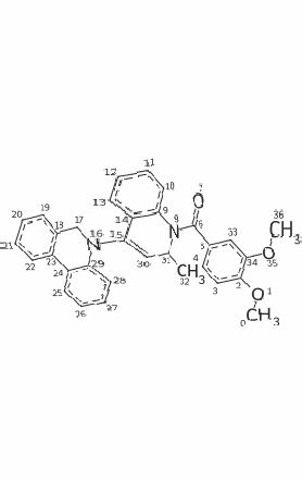 COc1ccc(C(=O)N2c3ccccc3C(N3Cc4ccccc4-c4ccccc43)=CC2C)cc1OC